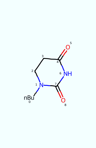 CCCCN1[CH]CC(=O)NC1=O